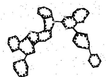 c1ccc(-c2ccc(-c3nc(-n4c5ccccc5c5c6oc7c8ccccc8c(-c8ccccc8)cc7c6ccc54)nc4ccccc34)cc2)cc1